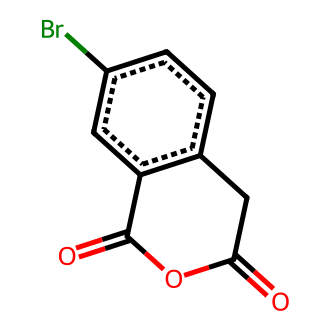 O=C1Cc2ccc(Br)cc2C(=O)O1